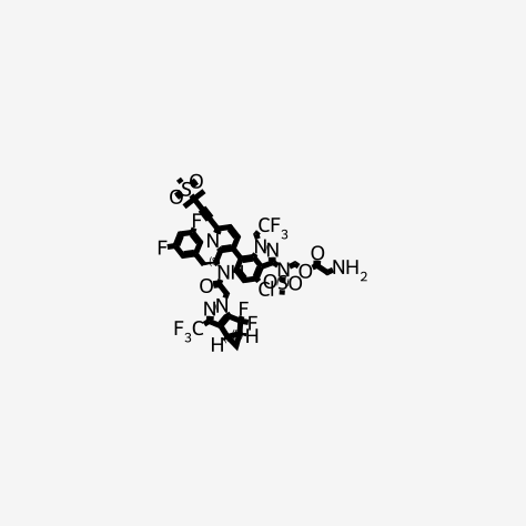 CC(C)(C#Cc1ccc(-c2ccc(Cl)c3c(N(COC(=O)CN)S(C)(=O)=O)nn(CC(F)(F)F)c23)c([C@H](Cc2cc(F)cc(F)c2)NC(=O)Cn2nc(C(F)(F)F)c3c2C(F)(F)[C@@H]2C[C@H]32)n1)S(C)(=O)=O